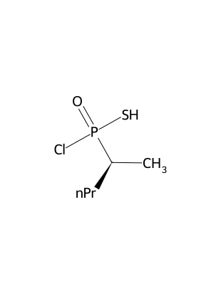 CCC[C@H](C)P(=O)(S)Cl